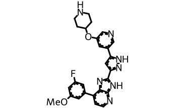 COc1cc(F)cc(-c2ccnc3[nH]c(-c4cc(-c5cncc(OC6CCNCC6)c5)[nH]n4)nc23)c1